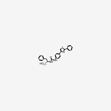 O=C(Nc1ccc(-c2csc(-c3ccccc3)n2)cc1)N[C@H](Cc1ccccc1)C(=O)O